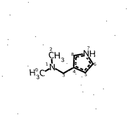 CN(C)Cc1cc[nH]c1